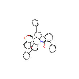 O=c1c2c(-c3ccccc3)cccc2c2cc(-c3ccccc3)cc3c2n1-c1ccc(-c2ccccc2)cc1C31c2ccccc2Oc2ccccc21